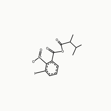 CC(C)C(C)C(=O)OC(=O)c1cccc(I)c1[N+](=O)[O-]